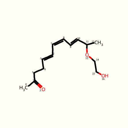 CC(=O)CC/C=C/C=C\C=C\C(C)OCCO